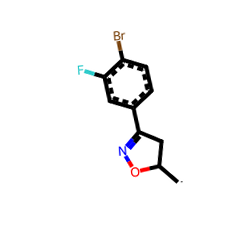 [CH2]C1CC(c2ccc(Br)c(F)c2)=NO1